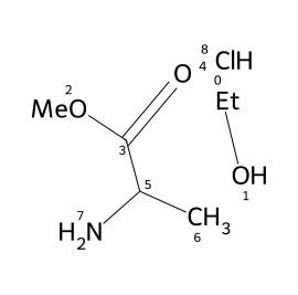 CCO.COC(=O)C(C)N.Cl